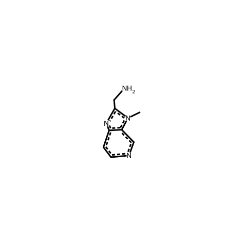 Cn1c(CN)nc2ccncc21